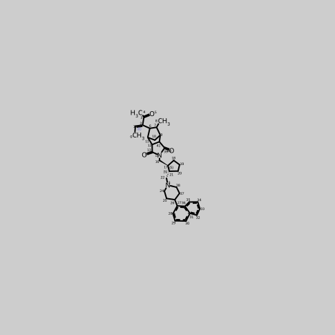 C/C=C(/C(C)=O)C1C(C)C2CC1C1C(=O)N(C[C@H]3CCC[C@@H]3CN3CCC(c4cccc5ccccc45)CC3)C(=O)C21